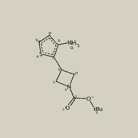 CC(C)(C)OC(=O)N1CC(c2sccc2N)C1